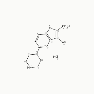 CCCCc1c(C(=O)O)oc2ccc(N3CCNCC3)cc12.Cl